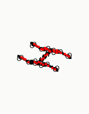 C=CC(=O)OCCCCCCOc1ccc(C(=O)Oc2ccc(OC(=O)c3ccc(OCCCCCCOC(=O)C=C)cc3)c(/C=N/N=C/c3ccc(/C=N/N=C/c4cc(OC(=O)c5ccc(OCCCCCCOC(=O)C=C)cc5)ccc4OC(=O)c4ccc(OCCCCCCOC(=O)C=C)cc4)cc3)c2)cc1